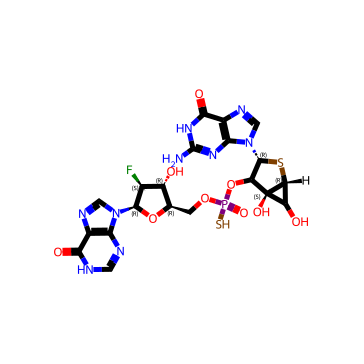 Nc1nc2c(ncn2[C@@H]2S[C@@H]3C(O)[C@]3(O)C2OP(=O)(S)OC[C@H]2O[C@@H](n3cnc4c(=O)[nH]cnc43)[C@@H](F)[C@@H]2O)c(=O)[nH]1